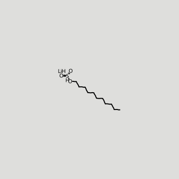 CCCCCCCCCCCO[SH](=O)=O.[LiH]